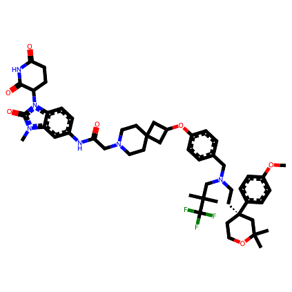 COc1ccc([C@]2(CCN(Cc3ccc(OC4CC5(CCN(CC(=O)Nc6ccc7c(c6)n(C)c(=O)n7C6CCC(=O)NC6=O)CC5)C4)cc3)CC(C)(C)C(F)(F)F)CCOC(C)(C)C2)cc1